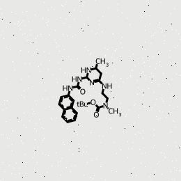 CC1CC(NCCN(C)C(=O)OC(C)(C)C)=NC(NC(=O)Nc2ccc3ccccc3c2)N1